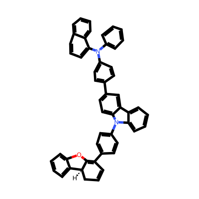 C1=CC(c2ccc(-n3c4ccccc4c4cc(-c5ccc(N(c6ccccc6)c6cccc7ccccc67)cc5)ccc43)cc2)=C2Oc3ccccc3[C@@H]2C1